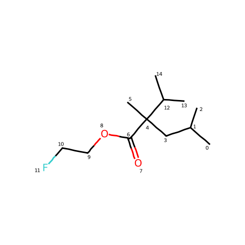 CC(C)CC(C)(C(=O)OCCF)C(C)C